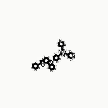 c1ccc(-c2cc3ccc4c(c5ccccc5n4-c4ccc(-c5nc(-c6ccncc6)nc(-c6ccncc6)n5)cc4)c3o2)cc1